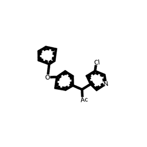 CC(=O)C(c1ccc(Oc2ccccc2)cc1)c1cncc(Cl)c1